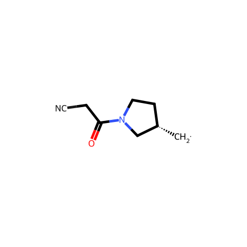 [CH2][C@H]1CCN(C(=O)CC#N)C1